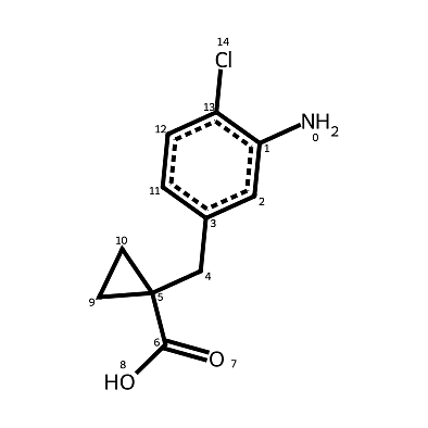 Nc1cc(CC2(C(=O)O)CC2)ccc1Cl